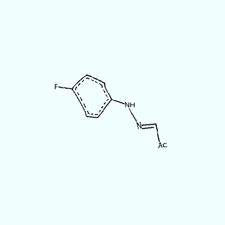 CC(=O)C=NNc1ccc(F)cc1